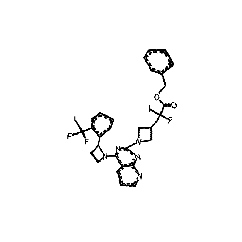 O=C(OCc1ccccc1)C(F)(I)C1CN(c2nc(N3CCC3c3ccccc3C(F)(F)I)c3cccnc3n2)C1